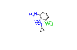 Cl.Nc1ccccc1NC1CC1